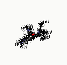 CCC(OC(C)=O)/C(OC(O)C(O)C(O)C(C)O)=C(/O)C(O)OC1C(C)OC(OC(=O)[C@]23CCC(C)(C)CC2C2=CCC4[C@@]5(C)CC[C@H](OC(O)C(OC6OC(CO)C(O)C(O)C6O)C(OC(O)C(O)C(O)C(C)O)C(O)CC(=O)O)CC5[C@@](C)(/C=N/NC(=O)CCCCCN5C(=O)CC(SCCO)C5=O)C[C@@]4(C)[C@]2(C)C[C@H]3O)C(OC2OC(C)C(OC(O)/C(O)=C(/OC(O)/C(O)=C(/O)C(O)CCO)C(C)O)C(O)C2O)C1O